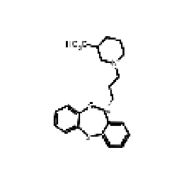 O=C(O)C1CCCN(CCC[C@H]2Sc3ccccc3Sc3ccccc32)C1